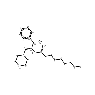 CCCCCCCCC(=O)N[C@@H](CN1CCOCC1)[C@@H](O)c1ccccc1